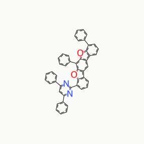 c1ccc(-c2cc(-c3ccccc3)nc(-c3cccc4c3oc3c(-c5ccccc5)c5oc6c(-c7ccccc7)cccc6c5cc34)n2)cc1